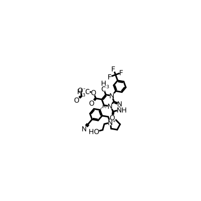 COC(=O)C1=C(C)N(c2cccc(C(F)(F)F)c2)c2n[nH]c(=O)n2[C@@H]1c1ccc(C#N)cc1C[N+]1(CCO)CCCC1.O=C[O-]